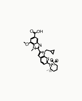 COc1cc(C(=O)O)cc2nc(-c3cc4ccc(N5[C@@H](C)CCCS5(=O)=O)nc4n3CC3CC3)n(C)c12